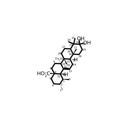 C[C@H]1[C@H](C)CC[C@]2(C(=O)O)CC[C@]3(C)C(=CC[C@@H]4[C@@]5(C)CCC(O)(O)C(C)(C)C5CC[C@]43C)[C@H]12